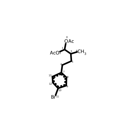 CC(=O)OC(OC(C)=O)C(C)CCc1ccc(Br)cc1